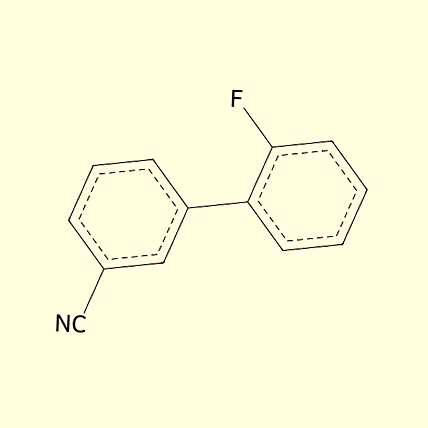 N#Cc1cccc(-c2ccccc2F)c1